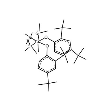 CC(C)(C)c1ccc([O][Ta]([CH3])([O]c2ccc(C(C)(C)C)cc2C(C)(C)C)([Si](C)(C)C)([Si](C)(C)C)[Si](C)(C)C)c(C(C)(C)C)c1